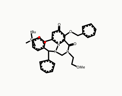 COCCN1CN(C(c2ccccc2)c2ccccc2)n2c(CO[Si](C)(C)C(C)(C)C)cc(=O)c(OCc3ccccc3)c2C1=O